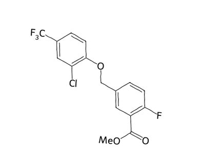 COC(=O)c1cc(COc2ccc(C(F)(F)F)cc2Cl)ccc1F